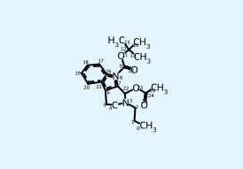 CCCN1CCc2c(n(C(=O)OC(C)(C)C)c3ccccc23)C1OC(C)=O